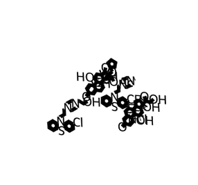 CC(=O)OCC(=O)[C@@]12OC3(CCCC3)O[C@@H]1C[C@H]1[C@@H]3CCC4=CC(=O)C=C[C@]4(C)[C@@]3(F)[C@@H](O)C[C@@]12C.CN1CCN(CCCN2c3ccccc3Sc3ccc(C(F)(F)F)cc32)CC1.C[C@@H]1C[C@H]2[C@@H]3CCC4=CC(=O)C=C[C@]4(C)[C@@]3(F)[C@@H](O)C[C@]2(C)[C@@]1(O)C(=O)CO.Cl.OCCN1CCN(CCCN2c3ccccc3Sc3ccc(Cl)cc32)CC1